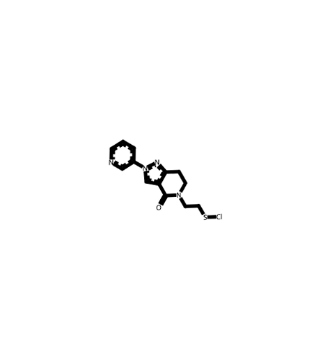 O=C1c2cn(-c3cccnc3)nc2CCN1CCSCl